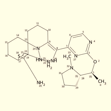 C[C@H](Oc1nccc(C2=C3CCCC4(CCCc5sc(N)c(N)c54)N3NN2)n1)[C@@H]1CCCN1C